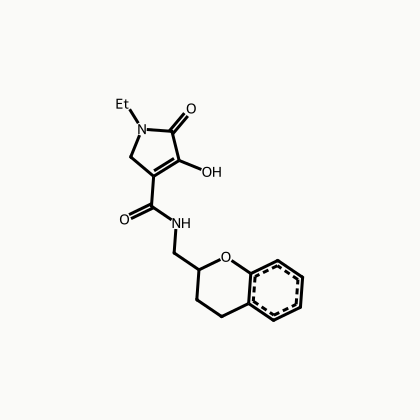 CCN1CC(C(=O)NCC2CCc3ccccc3O2)=C(O)C1=O